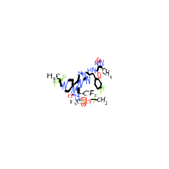 CC(F)(F)COS(=O)(=O)C(F)(F)F.Cc1nonc1C(=O)N[C@H](c1cn2ncc(C3(N4C[C@H](C(F)(F)F)NC4=O)CCN(CC(C)(F)F)CC3)nc2n1)C1CCC(F)(F)CC1